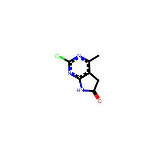 Cc1nc(Cl)nc2c1CC(=O)N2